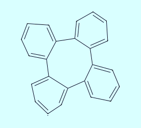 [c]1ccc2c(c1)-c1ccccc1-c1ccccc1-c1ccccc1-2